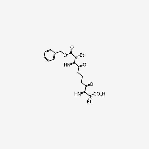 CC[C@H](C(=N)C(=O)CCCC(=O)C(=N)[C@@H](CC)C(=O)OCc1ccccc1)C(=O)O